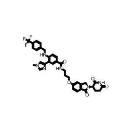 Cn1cnc(-c2cc(C(=O)NCCCOc3ccc4c(c3)CN(C3CCC(=O)NC3=O)C4=O)ccc2NCc2ccc(C(F)(F)F)cc2)c1